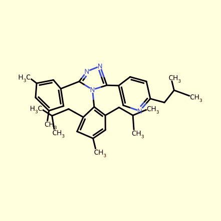 Cc1cc(C)cc(-c2nnc(-c3ccc(CC(C)C)nc3)n2-c2c(CC(C)C)cc(C)cc2CC(C)C)c1